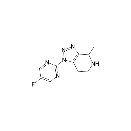 CC1NCCc2c1nnn2-c1ncc(F)cn1